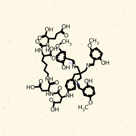 COc1ccc(O)c(C=NCC(C/N=C\c2cc(OC)ccc2O)(C/N=C/c2cc(OC)ccc2O)Cc2ccc(NC(CC(=O)O)C(=O)NC(CC(=O)O)C(=O)NCCCCC(NC(=O)NC(CCC(=O)O)C(=O)O)C(=O)O)cc2)c1